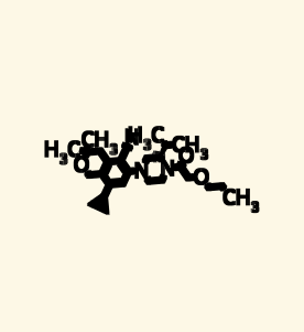 CCCOCC(=O)N1CCN(c2cc(C3CC3)c3c(c2C#N)CC(C)(C)OC3)C[C@H]1C(C)C